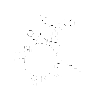 CCCCCc1ccc(/C(C)=C/C(=O)NC(Cc2c[nH]c3ccccc23)C(=O)N[C@H](CC(N)=O)C(=O)N[C@@H](CC(=O)O)C(=O)N[C@@H]2C(=O)NCC(=O)N[C@@H](CCCNC(=O)OC(C)(C)C)C(=O)N[C@@H](CC(=O)O)C(=O)N[C@H](C)C(=O)N[C@@H](CC(=O)O)C(=O)NCC(=O)N[C@H](CO)C(=O)NC([C@H](C)CC(=O)O)C(=O)N[C@@H](CC(=O)c3ccccc3N)C(=O)O[C@@H]2C)cc1